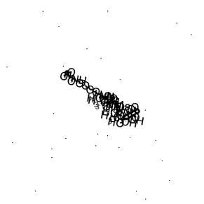 COc1cccc2c1C(=O)c1c(O)c3c(c(O)c1C2=O)C[C@@](O)(C(=N)CO)C[C@@H]3O[C@H]1C[C@H](NC(=O)C(CC(C)C)NC(=O)[C@@H](CC(N)=O)NC(=O)[C@@H](C)NC(=O)[C@@H](C)NC(=O)CCOCCOCCOCCOCCNC(=O)CCN2C(=O)C=CC2=O)[C@H](O)[C@H](C)O1